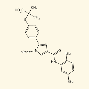 CCCCCn1cc(C(=O)Nc2cc(C(C)(C)C)ccc2C(C)(C)C)nc1-c1ccc(SC(C)(C)C(=O)O)cc1